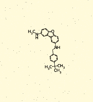 CNc1ccc2oc3ccc(NCc4ccc(C(C)(C)C)cc4)cc3c2c1